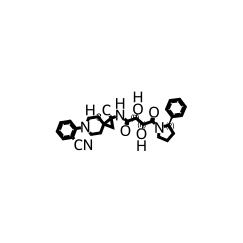 CC1(NC(=O)[C@H](O)[C@@H](O)C(=O)N2CCC[C@@H]2c2ccccc2)CC12CCN(c1ccccc1C#N)CC2